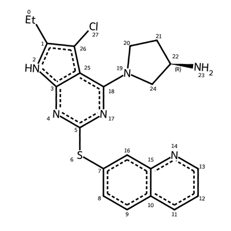 CCc1[nH]c2nc(Sc3ccc4cccnc4c3)nc(N3CC[C@@H](N)C3)c2c1Cl